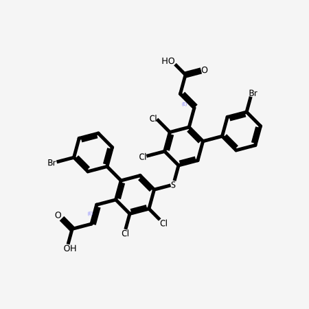 O=C(O)/C=C/c1c(-c2cccc(Br)c2)cc(Sc2cc(-c3cccc(Br)c3)c(/C=C/C(=O)O)c(Cl)c2Cl)c(Cl)c1Cl